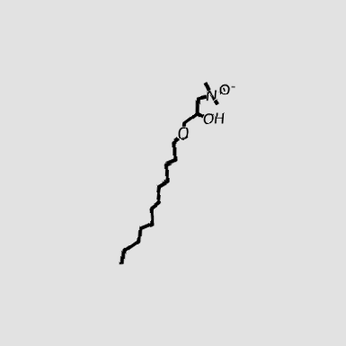 CCCCCCCCCCCCOCC(O)C[N+](C)(C)[O-]